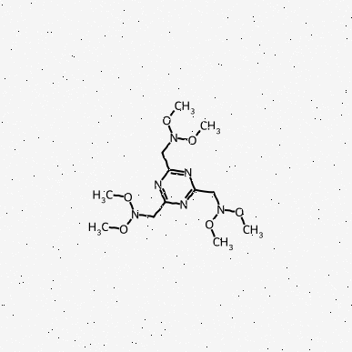 CON(Cc1nc(CN(OC)OC)nc(CN(OC)OC)n1)OC